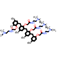 CCc1cc(C(C)(C)C)cc(Cc2cc(C(C)(C)C)cc(Cc3cc(C(C)(C)C)cc(Cc4cc(C(C)(C)C)ccc4OCC(=O)NCCN(C)C)c3OCC(=O)NCCN(C)C)c2OCC(=O)NCCN(C)C)c1OCC(=O)NCCN(C)C